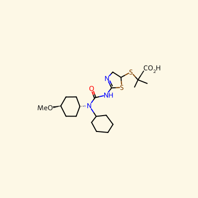 CO[C@H]1CC[C@H](N(C(=O)NC2=NCC(SC(C)(C)C(=O)O)S2)C2CCCCC2)CC1